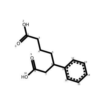 O=C(O)CCCC(CC(=O)O)c1ccccc1